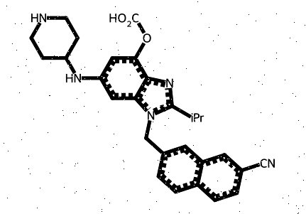 CC(C)c1nc2c(OC(=O)O)cc(NC3CCNCC3)cc2n1Cc1ccc2ccc(C#N)cc2c1